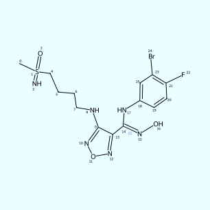 CS(=N)(=O)CCCCNc1nonc1/C(=N/O)Nc1ccc(F)c(Br)c1